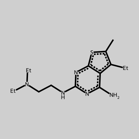 CCc1c(C)sc2nc(NCCN(CC)CC)nc(N)c12